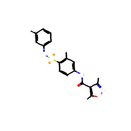 Cc1cc(NC(=O)c2c(C)noc2C)ccc1S(=O)(=O)Nc1cccc(C(F)(F)F)c1